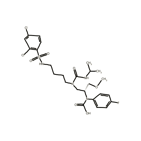 COC[C@@H](CN(CCCCNS(=O)(=O)c1ccc(Cl)cc1Cl)C(=O)NC(C)C)N(C(=O)O)c1ccc(F)cc1